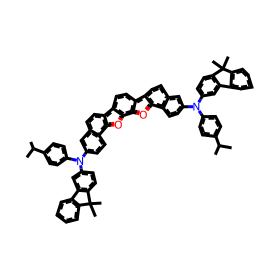 CC(C)c1ccc(N(c2ccc3c(c2)-c2ccccc2C3(C)C)c2ccc3c(ccc4c5ccc6c7ccc8cc(N(c9ccc(C(C)C)cc9)c9ccc%10c(c9)-c9ccccc9C%10(C)C)ccc8c7oc6c5oc34)c2)cc1